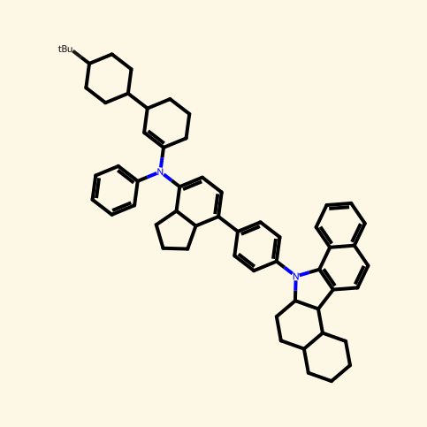 CC(C)(C)C1CCC(C2C=C(N(C3=CC=C(c4ccc(N5c6c(ccc7ccccc67)C6C7CCCCC7CCC65)cc4)C4CCCC34)c3ccccc3)CCC2)CC1